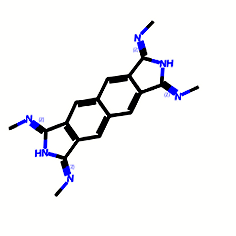 C/N=c1\[nH]/c(=N\C)c2cc3cc4/c(=N/C)[nH]/c(=N\C)c4cc3cc12